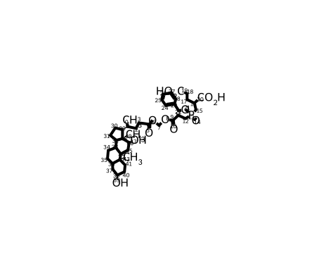 CC(CCC(=O)OCOC(=O)CCP(=O)(CC(CCC(=O)O)C(=O)O)OCc1ccccc1)[C@H]1CCC2C3CCC4C[C@H](O)CC[C@]4(C)C3C[C@H](O)[C@@]21C